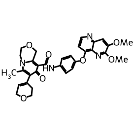 COc1cc2nccc(Oc3ccc(NC(=O)c4c5n(c(C)c(C6=CCOCC6)c4=O)CCOC5)cc3)c2nc1OC